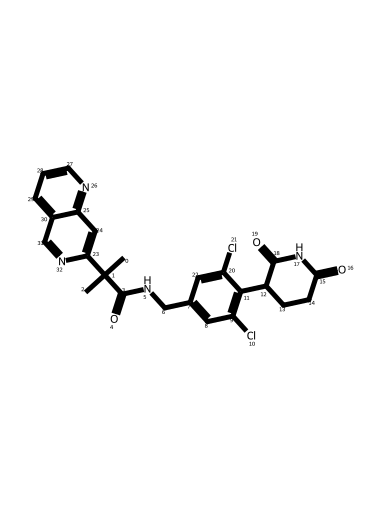 CC(C)(C(=O)NCc1cc(Cl)c(C2CCC(=O)NC2=O)c(Cl)c1)c1cc2ncccc2cn1